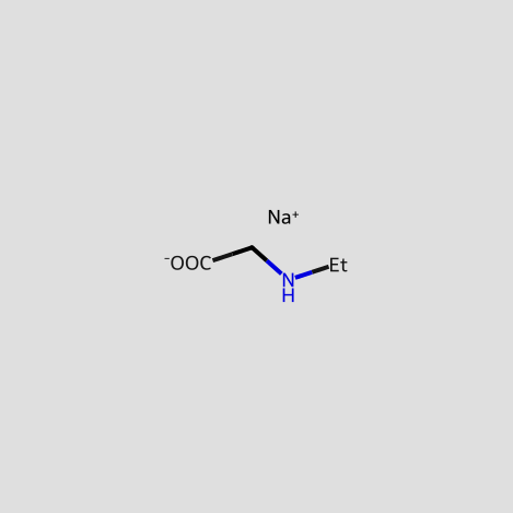 CCNCC(=O)[O-].[Na+]